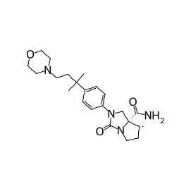 CC(C)(CCN1CCOCC1)c1ccc(N2C[C@@]3(C(N)=O)[CH]CCN3C2=O)cc1